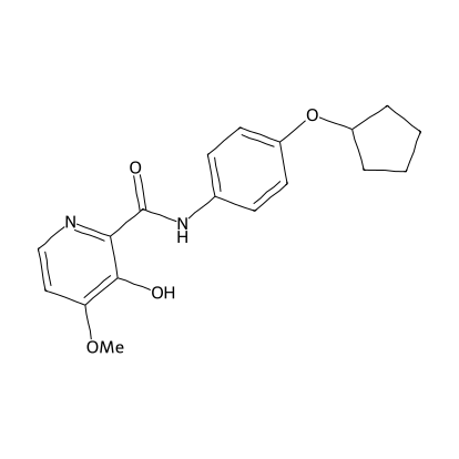 COc1ccnc(C(=O)Nc2ccc(OC3CCCC3)cc2)c1O